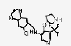 FC(F)(F)c1cncc(NCc2cc3nccnc3cc2Cl)c1O[C@@H]1CCNC1